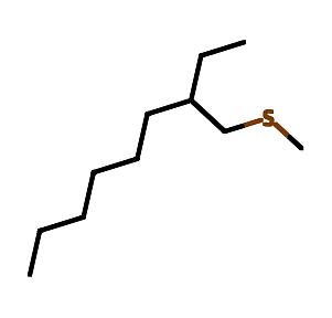 CCCCCCC(CC)CSC